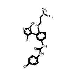 CN(C)CCOc1ccc(NC(=O)Nc2ccc(Cl)cc2)cc1-c1c(F)cnn1C